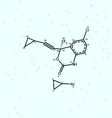 CC(=O)C1CC1.O=C1Nc2ccc(Cl)cc2[C@@](C#CC2CC2)(C(F)(F)F)O1